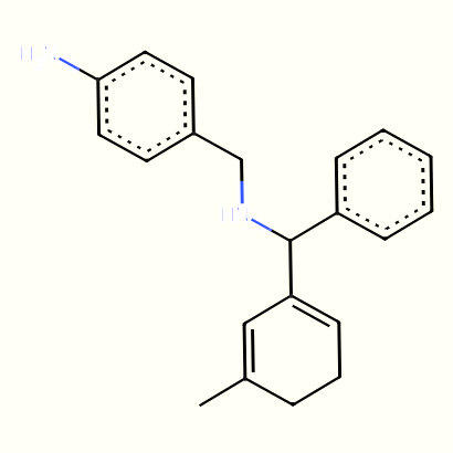 CC1=CC(C(NCc2ccc(N)cc2)c2ccccc2)=CCC1